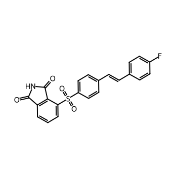 O=C1NC(=O)c2c1cccc2S(=O)(=O)c1ccc(C=Cc2ccc(F)cc2)cc1